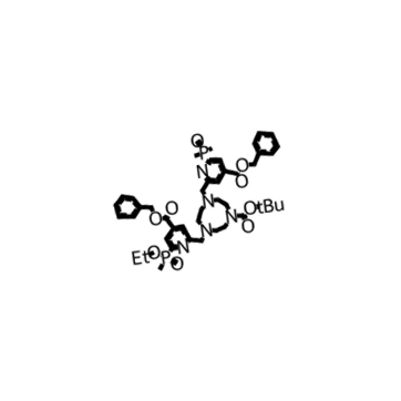 CCOP(C)(=O)c1cc(C(=O)OCc2ccccc2)cc(CN2CCN(Cc3cc(C(=O)OCc4ccccc4)cc(P(C)(C)=O)n3)CCN(C(=O)OC(C)(C)C)CC2)n1